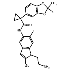 CC1(F)Oc2ccc(C3(C(=O)Nc4cc5cc(C(C)(C)C)n(CCN)c5cc4F)CC3)cc2O1